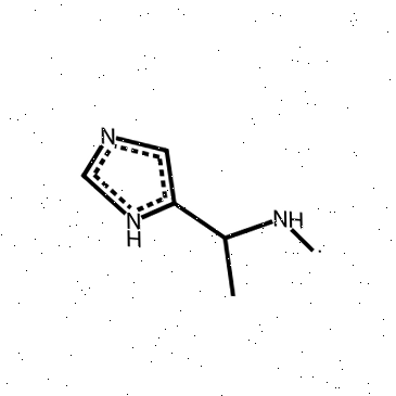 [CH2]NC(C)c1cnc[nH]1